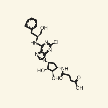 O=C(O)CCC(=O)N[C@H]1C[C@@H](n2cnc3c(N[C@H](CO)Cc4ccccc4)nc(Cl)nc32)[C@H](O)[C@@H]1O